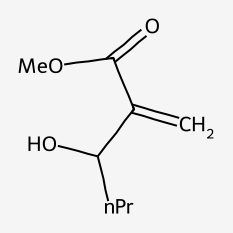 C=C(C(=O)OC)C(O)CCC